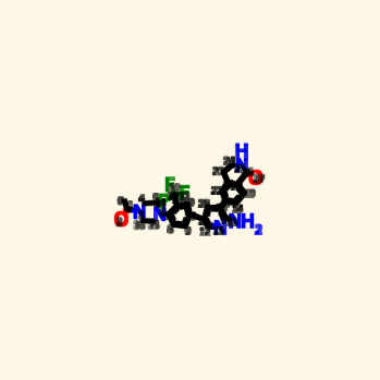 CC(=O)N1CCN(c2ccc(-c3cnc(N)c(-c4ccc5c(c4)CCNC5=O)c3)cc2C(F)(F)F)CC1